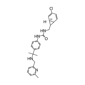 Cc1cccc(CNC(C)(C)c2ccc(NC(=O)NCC3C4C=CC(Cl)=C[C@@H]43)cc2)n1